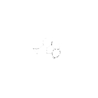 CC(C1CC1)C1Cc2cccc(O)c2C1=O